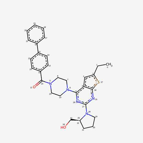 CCc1cc2c(N3CCN(C(=O)c4ccc(-c5ccccc5)cc4)CC3)nc(N3CCC[C@H]3CO)nc2s1